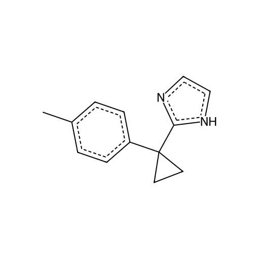 Cc1ccc(C2(c3ncc[nH]3)CC2)cc1